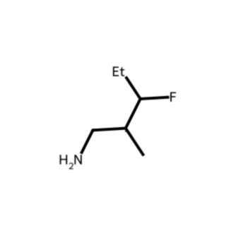 CCC(F)[C](C)CN